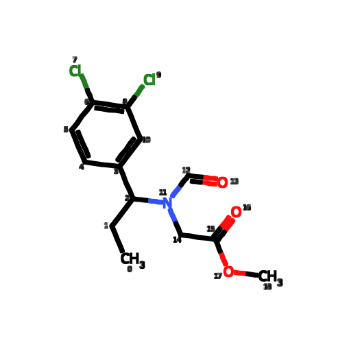 CCC(c1ccc(Cl)c(Cl)c1)N(C=O)CC(=O)OC